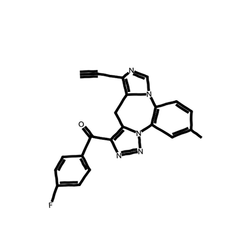 C#Cc1ncn2c1Cc1c(C(=O)c3ccc(F)cc3)nnn1-c1cc(C)ccc1-2